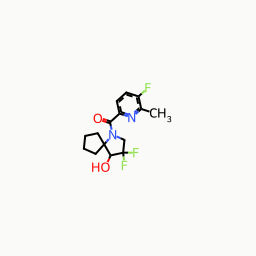 Cc1nc(C(=O)N2CC(F)(F)C(O)C23CCCC3)ccc1F